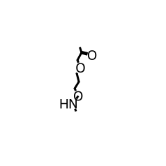 CNOCCCOCC(C)=O